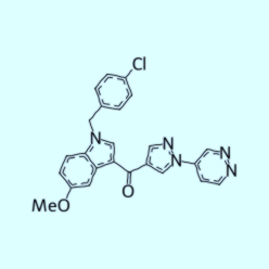 COc1ccc2c(c1)c(C(=O)c1cnn(-c3ccnnc3)c1)cn2Cc1ccc(Cl)cc1